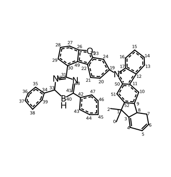 CC1(C)C2=CC=CCC2c2cc3c4ccccc4n(-c4ccc5c(c4)oc4cccc(C6=NC(c7ccccc7)BC(c7ccccc7)=N6)c45)c3cc21